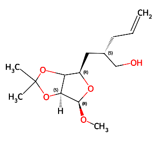 C=CC[C@H](CO)C[C@H]1O[C@@H](OC)[C@H]2OC(C)(C)OC12